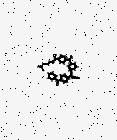 CN(C)CCCOC(=O)c1ccc(C(=O)c2ccccc2)cc1.CNC(=O)c1ccc(C(=O)c2ccccc2)cc1